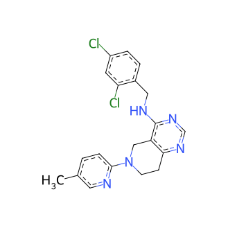 Cc1ccc(N2CCc3ncnc(NCc4ccc(Cl)cc4Cl)c3C2)nc1